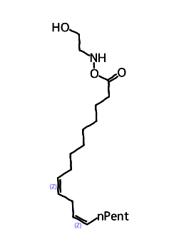 CCCCC/C=C\C/C=C\CCCCCCCC(=O)ONCCO